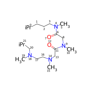 CC(C)CCCN(C)C(=O)CN(C)C(=O)CN(C)CCN(C)CC(C)C